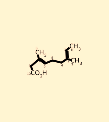 CC=C(C)CCC=C(C)CC(=O)O